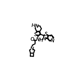 O=C(CCN1CC2CCC2C1)Nc1sc2c(c1-c1nc3cnccc3s1)CCNC2